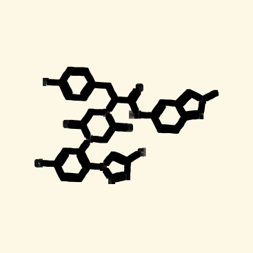 Cn1cc2cc(NC(=O)C(Cc3ccc(F)cc3)N3CC(=O)N(c4cc(Cl)ccc4-n4cc(Cl)nn4)CC3=O)ccc2n1